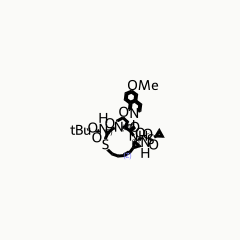 COc1ccc2c(OC3C[C@H]4C(=O)N[C@]5(C(=O)NS(=O)(=O)C6CC6)CC5/C=C\CCCSC[C@H](NC(=O)OC(C)(C)C)C(=O)N4C3)nccc2c1